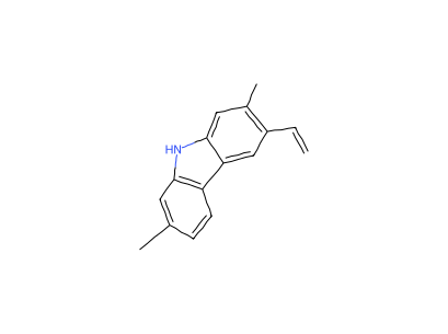 C=Cc1cc2c(cc1C)[nH]c1cc(C)ccc12